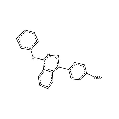 COc1ccc(-c2nnc(Oc3ccccc3)c3ccccc23)cc1